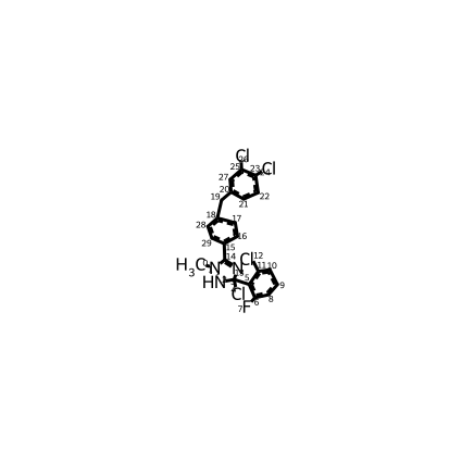 CN1NC(Cl)(c2c(F)cccc2Cl)N=C1c1ccc(Cc2ccc(Cl)c(Cl)c2)cc1